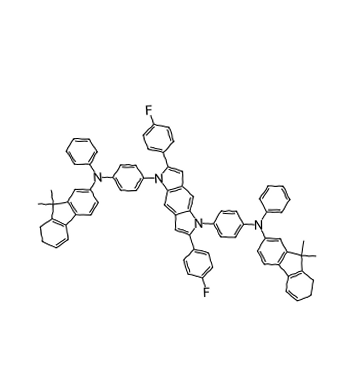 CC1(C)C2=C(C=CCC2)c2ccc(N(c3ccccc3)c3ccc(-n4c(-c5ccc(F)cc5)cc5cc6c(cc(-c7ccc(F)cc7)n6-c6ccc(N(c7ccccc7)c7ccc8c(c7)C(C)(C)C7=C8C=CCC7)cc6)cc54)cc3)cc21